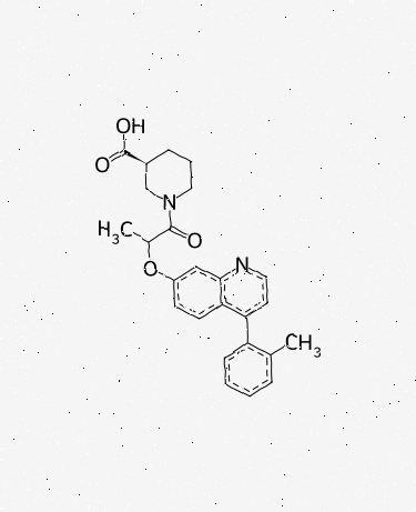 Cc1ccccc1-c1ccnc2cc(OC(C)C(=O)N3CCC[C@H](C(=O)O)C3)ccc12